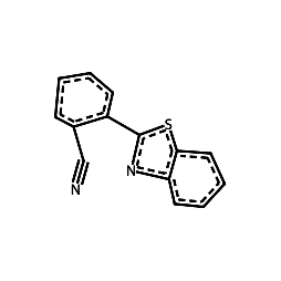 N#Cc1ccccc1-c1nc2ccccc2s1